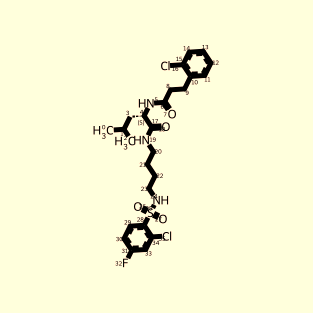 CC(C)C[C@H](NC(=O)CCc1ccccc1Cl)C(=O)NCCCCNS(=O)(=O)c1ccc(F)cc1Cl